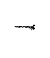 CCCOCCOCCOCCOCCOCCOCCOCCOCCC(=O)N[C@H](Cc1ccccc1)C(N)=O